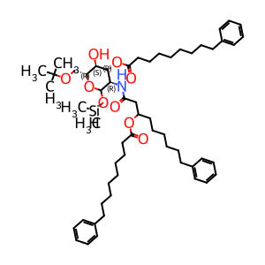 C[SiH](C)OC1O[C@H](COC(C)(C)C)[C@@H](O)[C@H](OC(=O)CCCCCCCCc2ccccc2)[C@H]1NC(=O)CC(CCCCCCc1ccccc1)OC(=O)CCCCCCCCc1ccccc1